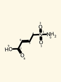 NS(=O)(=O)CC=CC(=O)O